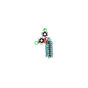 O=S(=O)(O[I+](c1ccc(Cl)cc1)c1ccc(Cl)cc1)C(F)(F)C(F)(F)C(F)(F)C(F)(F)C(F)(F)C(F)(F)C(F)(F)C(F)(F)F